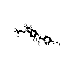 CC[C@H](Oc1cc2sc(=O)n(CCC(=O)O)c2cc1Cl)c1ccc(C)nn1